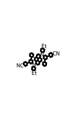 CCc1ccc(N(c2cc(-c3ccccc3)cc(-c3ccc(C#N)cc3)c2)c2ccc3ccc4c(N(c5ccc(CC)cc5)c5cc(-c6ccccc6)cc(-c6ccc(C#N)cc6)c5)ccc5ccc2c3c54)cc1